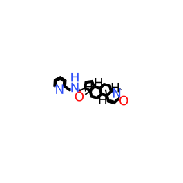 CN1C(=O)C=C[C@]2(C)[C@H]3CC[C@]4(C)[C@@H](C(=O)NCc5ccccn5)CC[C@H]4[C@@H]3CC[C@@H]12